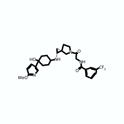 COc1ccc(C2(O)CCC(N[C@@H]3C[C@@]34CCN(C(=O)CNC(=O)c3cccc(C(F)(F)F)c3)C4)CC2)cn1